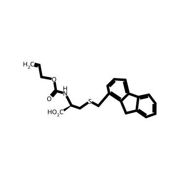 C=CCOC(=O)N[C@@H](CSCc1cccc2c1Cc1ccccc1-2)C(=O)O